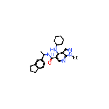 CCn1ncc2c(NC3CCCCC3)c(C(=O)NC(C)c3ccc4c(c3)CCC4)cnc21